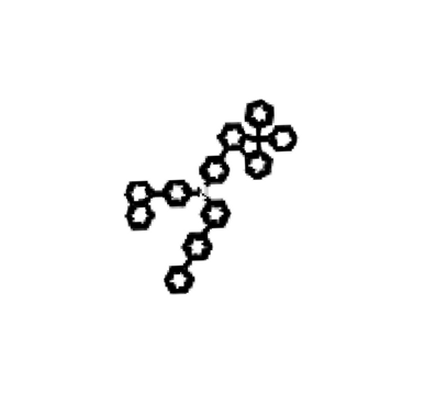 c1ccc(-c2ccc(-c3cccc(N(c4ccc(-c5cccc6c5-c5ccccc5C6(c5ccccc5)c5ccccc5)cc4)c4ccc(-c5cccc6ccccc56)cc4)c3)cc2)cc1